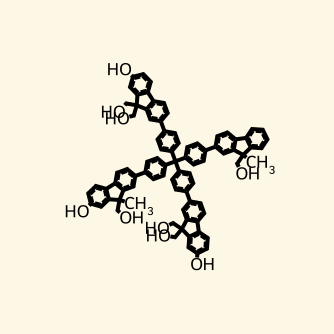 CC1(CO)c2ccccc2-c2ccc(-c3ccc(C(c4ccc(-c5ccc6c(c5)C(C)(CO)c5cc(O)ccc5-6)cc4)(c4ccc(-c5ccc6c(c5)C(CO)(CO)c5cc(O)ccc5-6)cc4)c4ccc(-c5ccc6c(c5)C(CO)(CO)c5cc(O)ccc5-6)cc4)cc3)cc21